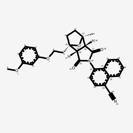 COc1cccc(OCC[C@]23CC[C@](C)(O2)[C@@H]2C(=O)N(c4ccc(C#N)c5ccccc45)C(=O)[C@@H]23)c1